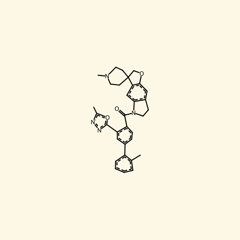 Cc1nnc(-c2cc(-c3ccccc3C)ccc2C(=O)N2CCc3cc4c(cc32)C2(CCN(C)CC2)CO4)o1